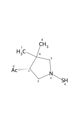 CC(=O)[C@H]1CN(S)CC1(C)C